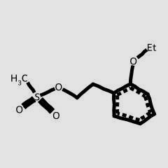 CCOc1ccccc1CCOS(C)(=O)=O